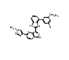 COc1cc(F)cc(-c2cccc3[nH]c(-c4n[nH]c5ccc(-c6cnn(C)c6)nc45)nc23)c1